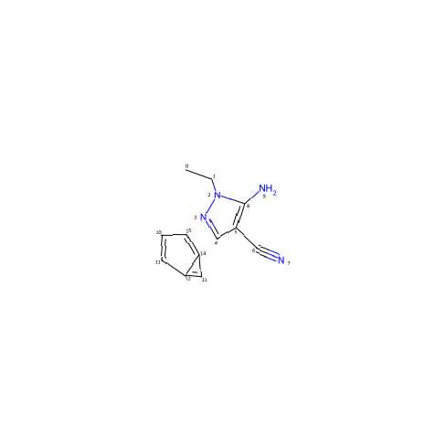 CCn1ncc(C#N)c1N.c1cc2cc-2c1